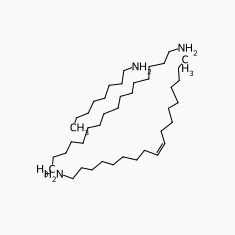 CCCCCCCC/C=C\CCCCCCCCN.CCCCCCCCCCCCCCCCN.CCCCCCCCN